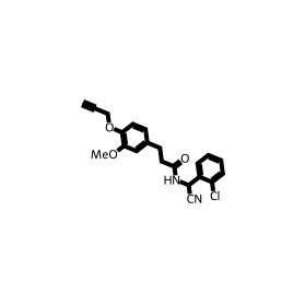 C#CCOc1ccc(CCC(=O)NC(C#N)c2ccccc2Cl)cc1OC